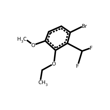 CCOc1c(OC)ccc(Br)c1C(F)F